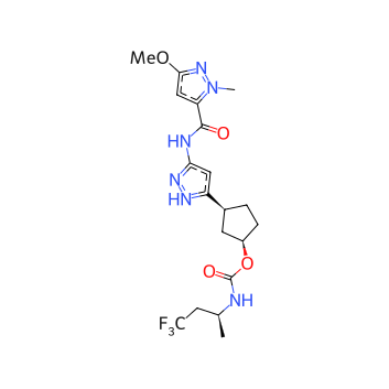 COc1cc(C(=O)Nc2cc([C@H]3CC[C@@H](OC(=O)N[C@@H](C)CC(F)(F)F)C3)[nH]n2)n(C)n1